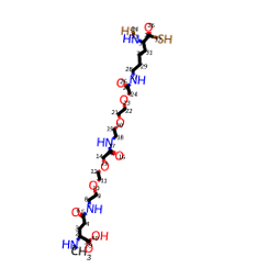 CNC(CCC(=O)NCCOCCOCC(=O)NCCOCCOCC(=O)NCCCCC(NS)C(=O)S)C(=O)O